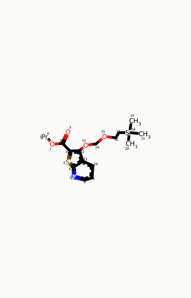 CC(C)OC(=O)c1sc2ncccc2c1OCOCC[Si](C)(C)C